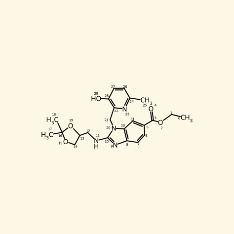 CCOC(=O)c1ccc2nc(NCC3COC(C)(C)O3)n(Cc3nc(C)ccc3O)c2c1